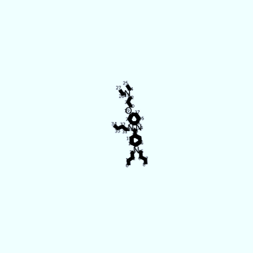 CCCCN(CCCC)c1ccc(-c2nc3ccc(OCCCN(CC)CC)cc3n2CCCC)cc1